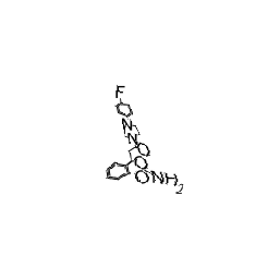 NC(=O)O[C@H](CC(=O)N1CCN(c2ccc(F)cc2)CC1)c1ccccc1